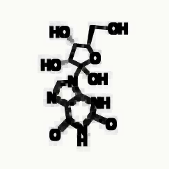 O=c1[nH]c(=O)c2ncn(C3(O)O[C@H](CO)[C@@H](O)[C@H]3O)c2[nH]1